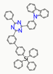 c1ccc(-c2nc(-c3cccc(-c4ccc([Si](c5ccccc5)(c5ccccc5)c5ccccc5)cc4)c3)nc(-c3cccc(-n4c5ccccc5c5ccccc54)c3)n2)cc1